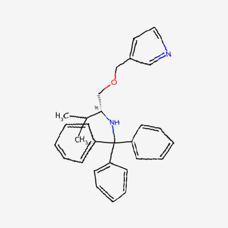 CC(C)[C@H](COCc1cccnc1)NC(c1ccccc1)(c1ccccc1)c1ccccc1